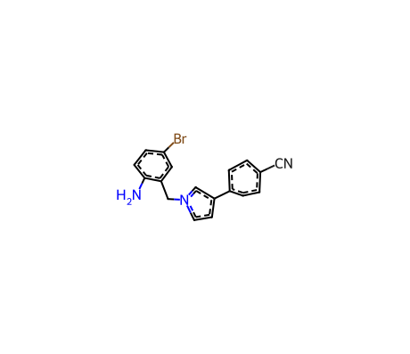 N#Cc1ccc(-c2ccn(Cc3cc(Br)ccc3N)c2)cc1